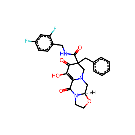 O=C1C2=C(O)C(=O)C(Cc3ccccc3)(C(=O)NCc3ccc(F)cc3F)CN2C[C@H]2OCCN12